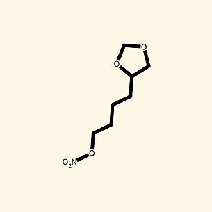 O=[N+]([O-])OCCCCC1COCO1